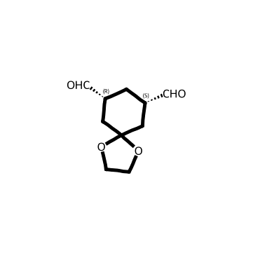 O=C[C@@H]1C[C@H](C=O)CC2(C1)OCCO2